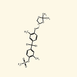 CCC(CC)(c1ccc(OC[C@@H]2COC(C)(C)O2)c(C)c1)c1ccc(OS(=O)(=O)C(F)(F)F)c(C)c1